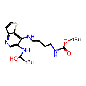 CCCCC(O)Nc1cnc2ccsc2c1NCCCCNC(=O)OC(C)(C)C